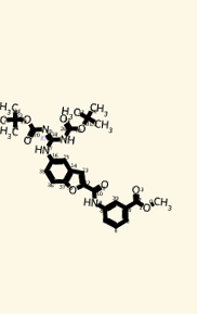 COC(=O)c1cccc(NC(=O)c2cc3cc(N/C(=N\C(=O)OC(C)(C)C)NC(=O)OC(C)(C)C)ccc3o2)c1